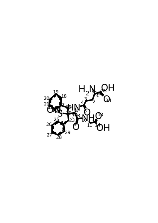 N[C@@H](CCC(=O)N[C@@H](C(=O)NCC(=O)O)C(Cc1ccccc1)(Cc1ccccc1)SN=O)C(=O)O